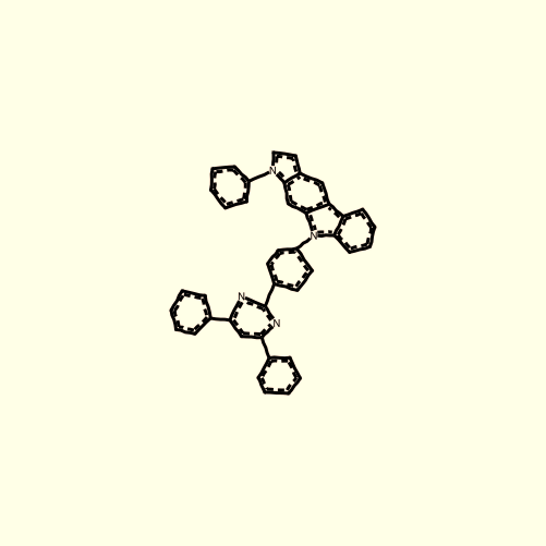 c1ccc(-c2cc(-c3ccccc3)nc(-c3ccc(-n4c5ccccc5c5cc6ccn(-c7ccccc7)c6cc54)cc3)n2)cc1